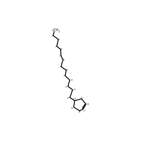 CCCCCCCCCCCCCCC1CC=CCC1